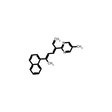 C=C/C(=C\C=C(/C)c1cccc2ccccc12)c1ncc(C)cn1